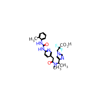 Cc1ccccc1NC(=O)Nc1ccc(CC(=O)N(C)C(C)c2cn(CC(F)(F)C(=O)O)cn2)cn1